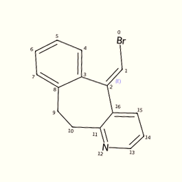 Br/C=C1\c2ccccc2CCc2ncccc21